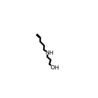 C=CCCCNCCCO